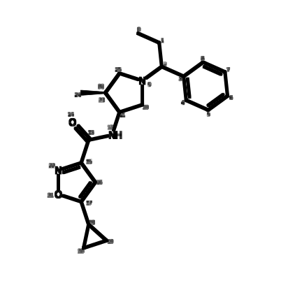 CCC(c1ccccc1)N1CC(NC(=O)c2cc(C3CC3)on2)[C@@H](C)C1